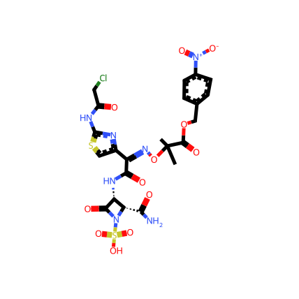 CC(C)(ON=C(C(=O)N[C@H]1C(=O)N(S(=O)(=O)O)[C@H]1C(N)=O)c1csc(NC(=O)CCl)n1)C(=O)OCc1ccc([N+](=O)[O-])cc1